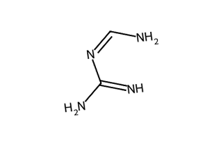 N=C(N)/N=C\N